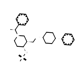 C[C@@H](c1ccccc1)N1CC[C@H](NS(C)(=O)=O)[C@H](CO[C@H]2CC[C@@H](c3ccccc3)CC2)C1